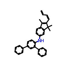 C=C/C=C\C1=C(C)c2ccc(Nc3ccc(-c4ccccc4)cc3-c3ccccc3)cc2C1(C)C